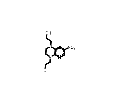 O=[N+]([O-])c1cnc2c(c1)N(CCO)CCN2CCO